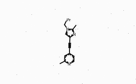 Cc1cc(C#Cc2cn(CC(C)C)c(C)n2)ccn1